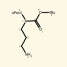 CCCCCN(CCCN)C(=O)OC(C)(C)C